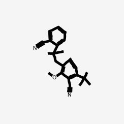 COc1c(CC(C)(C)c2ccccc2C#N)ccc(C(C)(C)C)c1C#N